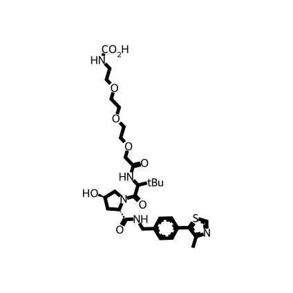 Cc1ncsc1-c1ccc(CNC(=O)[C@@H]2C[C@@H](O)CN2C(=O)C(NC(=O)COCCOCCOCCNC(=O)O)C(C)(C)C)cc1